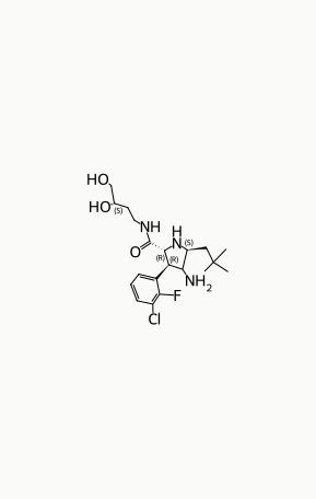 CC(C)(C)C[C@@H]1N[C@@H](C(=O)NCC[C@H](O)CO)[C@H](c2cccc(Cl)c2F)C1N